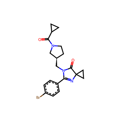 O=C(C1CC1)N1CC[C@@H](CN2C(=O)C3(CC3)N=C2c2ccc(Br)cc2)C1